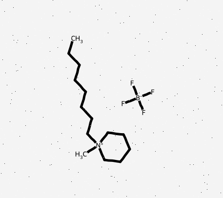 CCCCCCCC[N+]1(C)CCCCC1.F[B-](F)(F)F